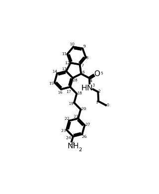 CCCNC(=O)C1c2ccccc2-c2cccc(CCCc3ccc(N)cc3)c21